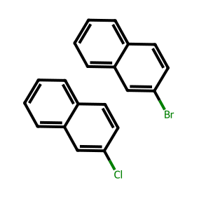 Brc1ccc2ccccc2c1.Clc1ccc2ccccc2c1